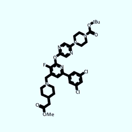 COC(=O)CC1CCN(Cc2cc(-c3cc(Cl)cc(Cl)c3)nc(Oc3cnc(N4CCN(C(=O)OC(C)(C)C)CC4)cn3)c2F)CC1